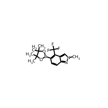 Cn1cc2c(C(F)(F)F)c(B3OC(C)(C)C(C)(C)O3)ccc2n1